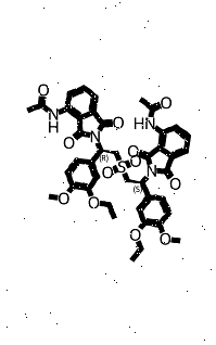 CCOc1cc([C@@H](CS(=O)(=O)C[C@@H](c2ccc(OC)c(OCC)c2)N2C(=O)c3cccc(NC(C)=O)c3C2=O)N2C(=O)c3cccc(NC(C)=O)c3C2=O)ccc1OC